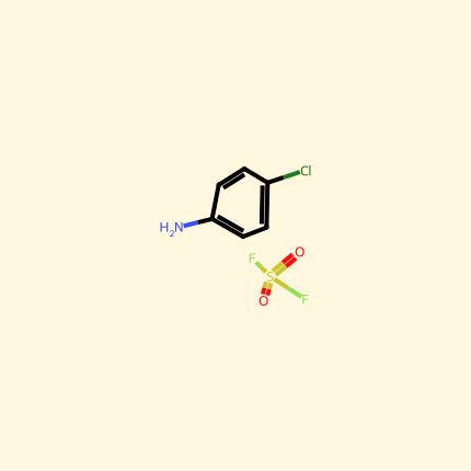 Nc1ccc(Cl)cc1.O=S(=O)(F)F